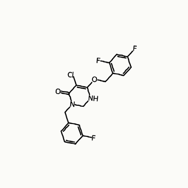 O=C1C(Cl)=C(OCc2ccc(F)cc2F)NCN1Cc1cccc(F)c1